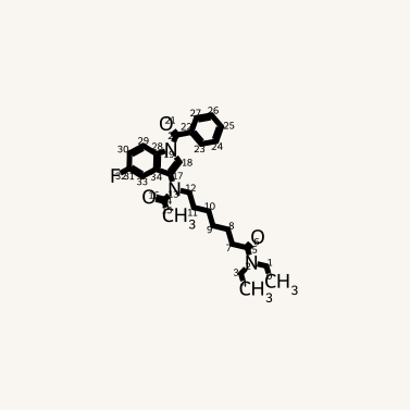 CCN(CC)C(=O)CCCCCCN(C(C)=O)c1cn(C(=O)c2ccccc2)c2ccc(F)cc12